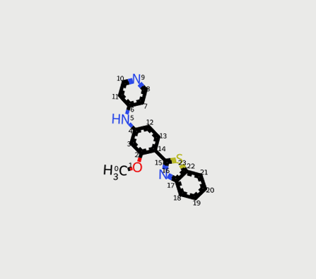 COc1cc(Nc2ccncc2)ccc1-c1nc2ccccc2s1